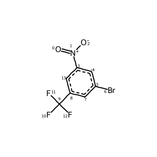 O=[N+]([O-])c1[c]c(Br)cc(C(F)(F)F)c1